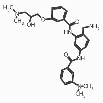 CN(C)CC(O)COc1cccc(C(=O)Nc2cc(NC(=O)c3cccc(N(C)C)c3)ccc2CN)c1